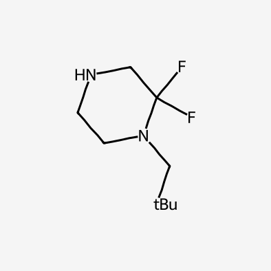 CC(C)(C)CN1CCNCC1(F)F